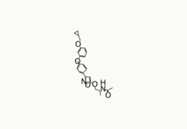 CC(=O)NC(C)COc1cc(-c2ccc(Oc3cccc(OCC4CC4)c3)cc2)no1